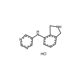 Cl.c1cc2c(c(Nc3cncnc3)c1)CNC2